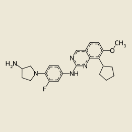 COc1ccc2cnc(Nc3ccc(N4CCC(N)C4)c(F)c3)nc2c1C1CCCC1